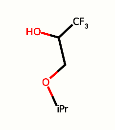 CC(C)OCC(O)C(F)(F)F